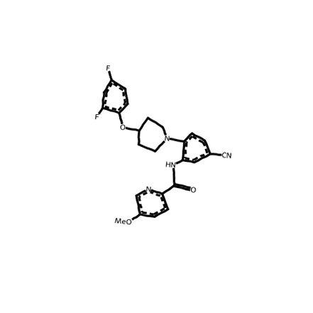 COc1ccc(C(=O)Nc2cc(C#N)ccc2N2CCC(Oc3ccc(F)cc3F)CC2)nc1